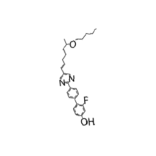 CCCCCOC(C)CCCC=Cc1cnc(-c2ccc(-c3ccc(O)cc3F)cc2)nc1